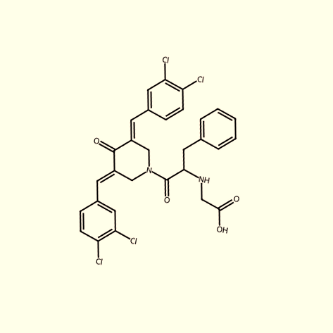 O=C(O)CNC(Cc1ccccc1)C(=O)N1C/C(=C\c2ccc(Cl)c(Cl)c2)C(=O)/C(=C/c2ccc(Cl)c(Cl)c2)C1